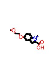 COCCOc1ccc2c(c1)cc(C(=O)O)n2C